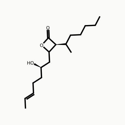 CC=CCC[C@@H](O)CC1OC(=O)[C@H]1C(C)CCCCC